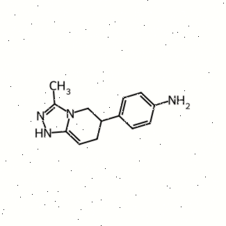 CC1=NNC2=CCC(c3ccc(N)cc3)CN21